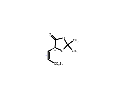 CCOC(=O)/C=C\[C@@H]1OC(C)(C)OC1=O